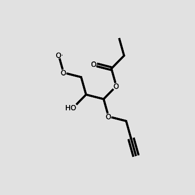 C#CCOC(OC(=O)CC)C(O)CO[O]